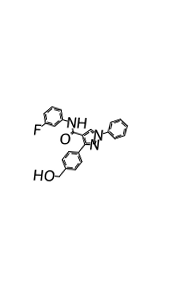 O=C(Nc1cccc(F)c1)c1cn(-c2ccccc2)nc1-c1ccc(CO)cc1